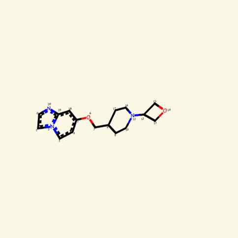 c1cn2ccc(OCC3CCN(C4COC4)CC3)cc2n1